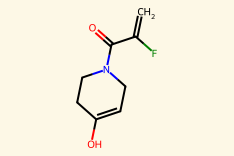 C=C(F)C(=O)N1CC=C(O)CC1